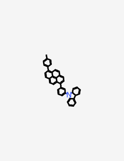 Cc1ccc(-c2ccc3ccc4c(-c5cccc(N6c7ccccc7C7C=CC=CC76)c5)ccc5ccc2c3c54)cc1